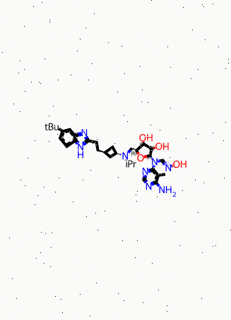 Cc1c(N)ncnc1N(/C=N/O)[C@@H]1O[C@H](CN(C(C)C)[C@H]2C[C@H](CCc3nc4cc(C(C)(C)C)ccc4[nH]3)C2)[C@@H](O)[C@H]1O